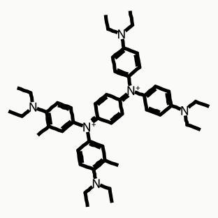 CCN(CC)c1ccc([N+](=C2C=CC(=[N+](c3ccc(N(CC)CC)c(C)c3)c3ccc(N(CC)CC)c(C)c3)C=C2)c2ccc(N(CC)CC)cc2)cc1